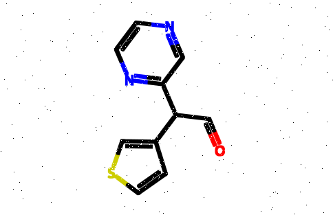 O=CC(c1ccsc1)c1cnccn1